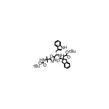 CC(C)(C)OC(=O)CC1(C(=O)N[C@@H](Cc2c[nH]c3ccccc23)c2nnc(C(C)(C)NC(=O)OC(C)(C)C)o2)Cc2ccccc2C1